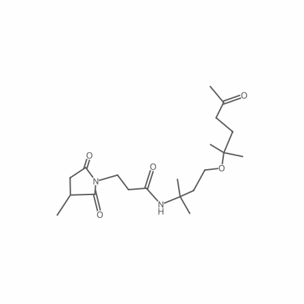 CC(=O)CCC(C)(C)OCCC(C)(C)NC(=O)CCN1C(=O)CC(C)C1=O